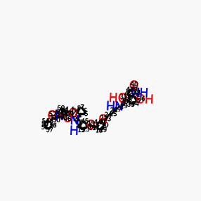 O=C(NC(c1ccccc1)c1cccc(OCc2cccc(OCCCCCNCC(O)c3ccc(O)c4[nH]c(=O)ccc34)c2)c1)O[C@H]1C[N+]2(CC(=O)c3ccccc3)CCC1CC2